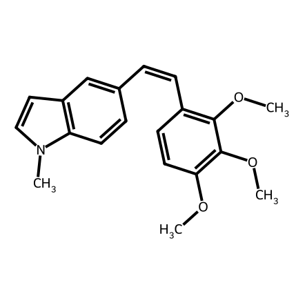 COc1ccc(/C=C\c2ccc3c(ccn3C)c2)c(OC)c1OC